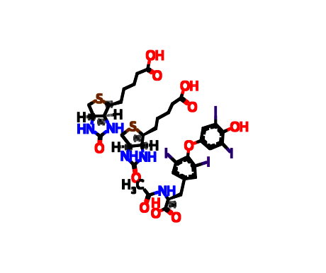 CC(=O)N[C@@H](Cc1cc(I)c(Oc2cc(I)c(O)c(I)c2)c(I)c1)C(=O)O.O=C(O)CCCC[C@@H]1SC[C@@H]2NC(=O)N[C@@H]21.O=C(O)CCCC[C@@H]1SC[C@@H]2NC(=O)N[C@@H]21